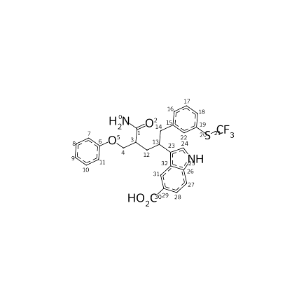 NC(=O)C(COc1ccccc1)CC(Cc1cccc(SC(F)(F)F)c1)c1c[nH]c2ccc(C(=O)O)cc12